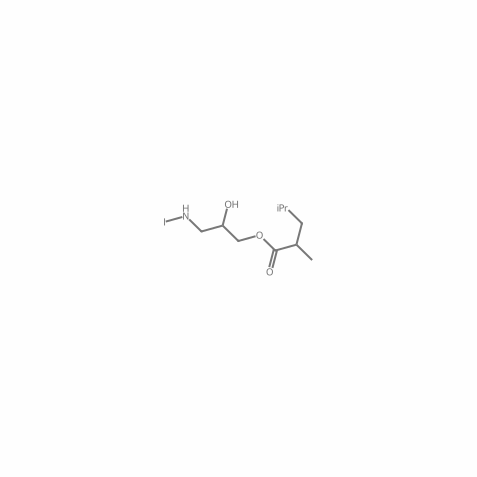 CC(C)CC(C)C(=O)OCC(O)CNI